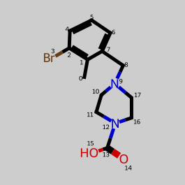 Cc1c(Br)cccc1CN1CCN(C(=O)O)CC1